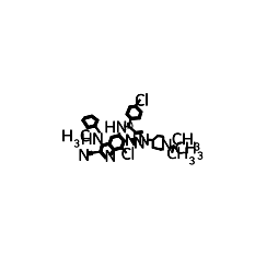 Cc1ccccc1CNc1c(C#N)cnc2c(Cl)cc(N[C@@H](c3ccc(Cl)cc3)c3cn(C4CCN(C(C)(C)C)CC4)nn3)cc12